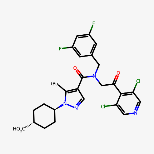 CC(C)(C)c1c(C(=O)N(CC(=O)c2c(Cl)cncc2Cl)Cc2cc(F)cc(F)c2)cnn1[C@H]1CC[C@H](C(=O)O)CC1